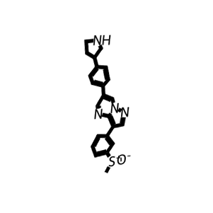 C[S+]([O-])c1cccc(-c2cnn3cc(-c4ccc(C5CCNC5)cc4)cnc23)c1